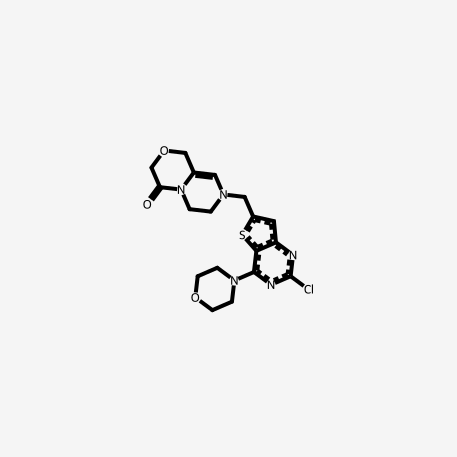 O=C1COCC2=CN(Cc3cc4nc(Cl)nc(N5CCOCC5)c4s3)CCN12